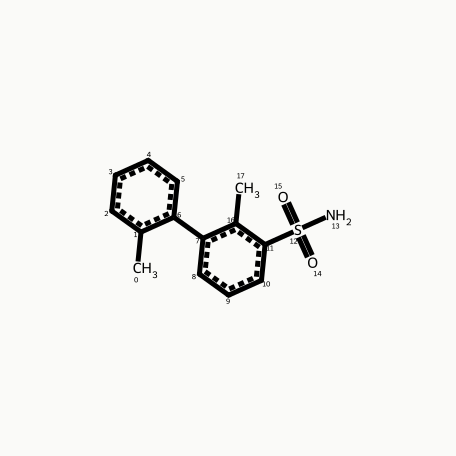 Cc1ccccc1-c1cccc(S(N)(=O)=O)c1C